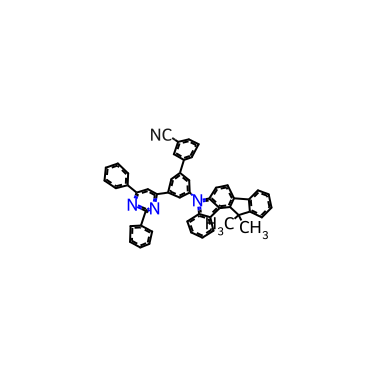 CC1(C)c2ccccc2-c2ccc3c(c21)c1ccccc1n3-c1cc(-c2cccc(C#N)c2)cc(-c2cc(-c3ccccc3)nc(-c3ccccc3)n2)c1